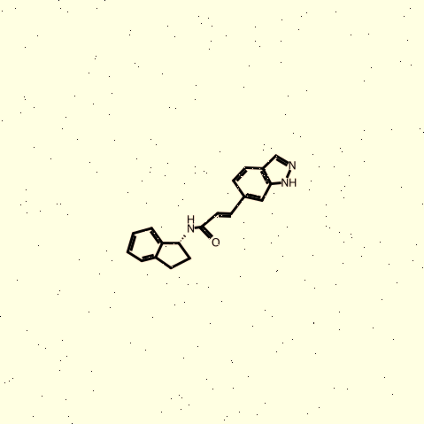 O=C(/C=C/c1ccc2cn[nH]c2c1)N[C@@H]1CCc2ccccc21